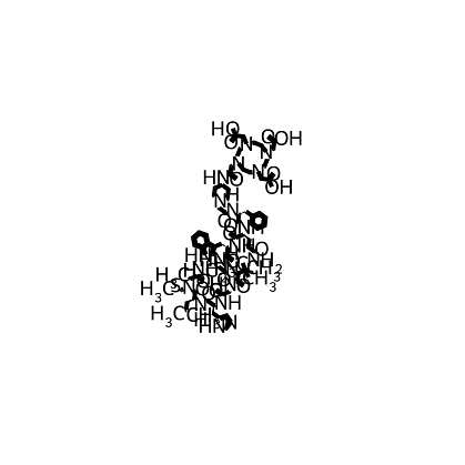 CSCN(C(=O)[C@H](CC(C)C)NC(=O)[C@H](Cc1cnc[nH]1)NC(=O)CNC(=O)[C@@H](NC(=O)[C@H](C)NC(=O)[C@H](Cc1c[nH]c2ccccc12)NC(=O)[C@H](CCC(N)=O)NC(=O)[C@@H](Cc1ccccc1)NC(=O)CN1CCC(NC(=O)CN2CCN(CC(=O)O)CCN(CC(=O)O)CCN(CC(=O)O)CC2)CC1)C(C)(C)C)[C@@H](C)C(N)=O